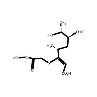 CCCOC(=O)CS/C(=C\C(=O)O)[C@H](C)C[C@H](C=O)[C@@H](C)O